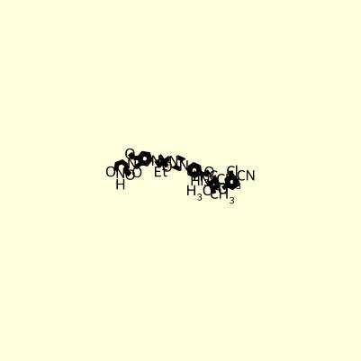 CCOC1(CN2CCN(c3ccc(C(=O)N[C@H]4C(C)(C)[C@H](Oc5ccc(C#N)c(Cl)c5)C4(C)C)cc3)CC2)CN(c2ccc3c(c2)C(=O)N(C2CCC(=O)NC2=O)C3=O)C1